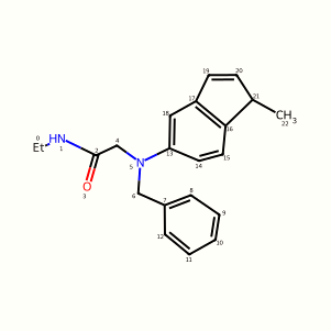 CCNC(=O)CN(Cc1ccccc1)c1ccc2c(c1)C=CC2C